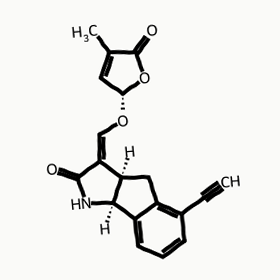 C#Cc1cccc2c1C[C@@H]1/C(=C\O[C@@H]3C=C(C)C(=O)O3)C(=O)N[C@H]21